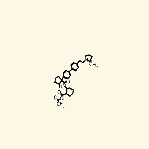 C[C@@H]1CCCN1CCc1ccc(-c2ccc(C3(C(=O)NC4CCCCC4C(=O)OC(=O)C(F)(F)F)CCCC3)cc2)cc1